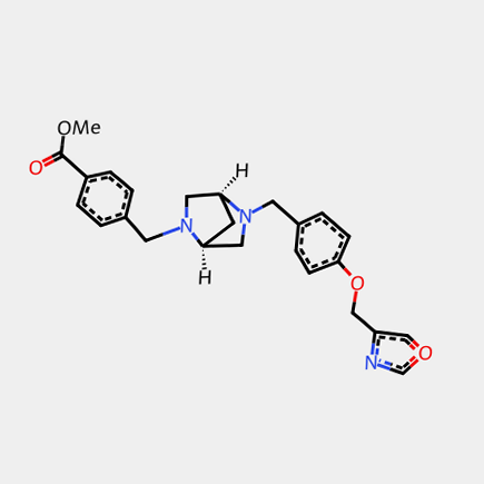 COC(=O)c1ccc(CN2C[C@@H]3C[C@H]2CN3Cc2ccc(OCc3cocn3)cc2)cc1